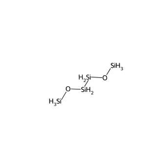 [SiH3]O[SiH2][SiH2]O[SiH3]